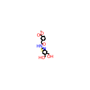 COC(=O)c1cccc(CC(=O)Nc2nc3cc(CO)c(CO)cc3s2)c1